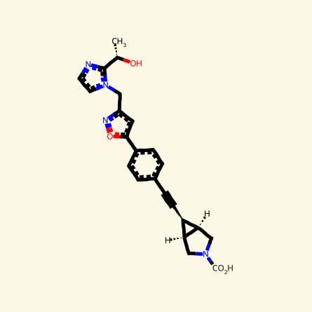 C[C@H](O)c1nccn1Cc1cc(-c2ccc(C#C[C@H]3[C@H]4CN(C(=O)O)C[C@@H]34)cc2)on1